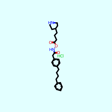 Cl.O=C(Cc1ccc(CCCCc2ccccc2)cc1)NOC(=O)CCCC1CCNCC1